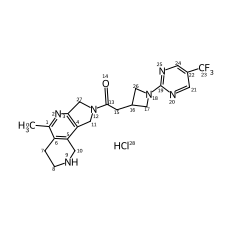 Cc1nc2c(c3c1CCNC3)CN(C(=O)CC1CN(c3ncc(C(F)(F)F)cn3)C1)C2.Cl